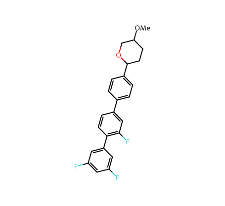 COC1CCC(c2ccc(-c3ccc(-c4cc(F)cc(F)c4)c(F)c3)cc2)OC1